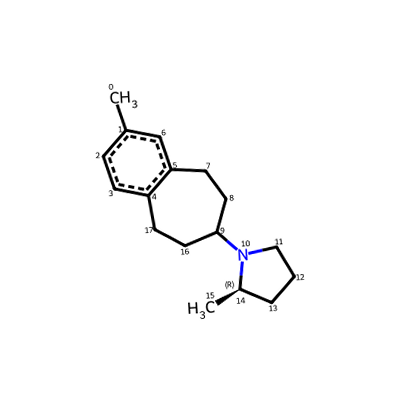 Cc1ccc2c(c1)CCC(N1CCC[C@H]1C)CC2